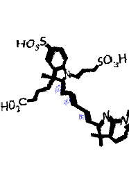 C[n+]1cccc2c1N=C(/C=C/C=C/C=C1\N(CCCS(=O)(=O)O)c3ccc(S(=O)(=O)O)cc3C1(C)CCCC(=O)O)C2(C)C